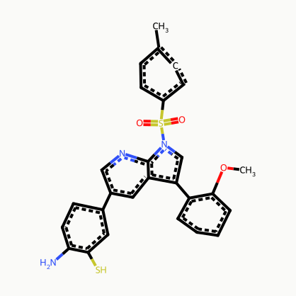 COc1ccccc1-c1cn(S(=O)(=O)c2ccc(C)cc2)c2ncc(-c3ccc(N)c(S)c3)cc12